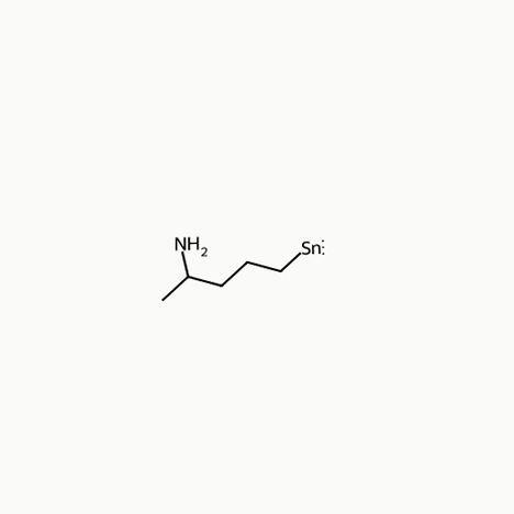 CC(N)CC[CH2][Sn]